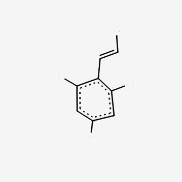 CCOC(=O)C=Cc1c(O)cc(O)cc1O